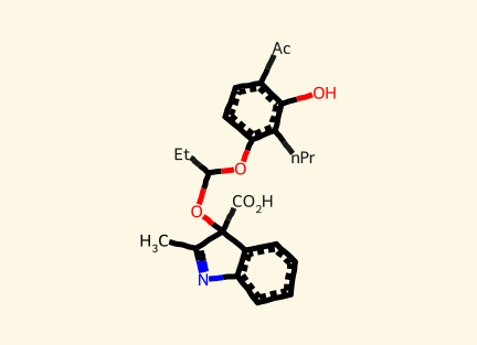 CCCc1c(OC(CC)OC2(C(=O)O)C(C)=Nc3ccccc32)ccc(C(C)=O)c1O